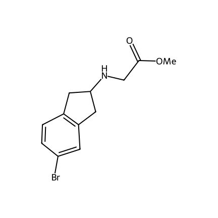 COC(=O)CNC1Cc2ccc(Br)cc2C1